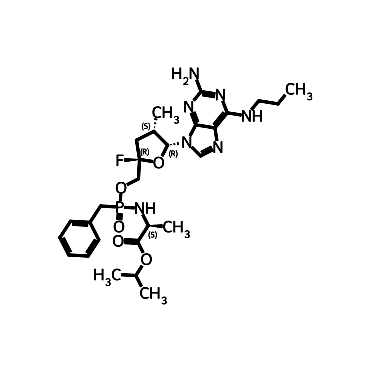 CCCNc1nc(N)nc2c1ncn2[C@@H]1O[C@](F)(COP(=O)(Cc2ccccc2)N[C@@H](C)C(=O)OC(C)C)C[C@@H]1C